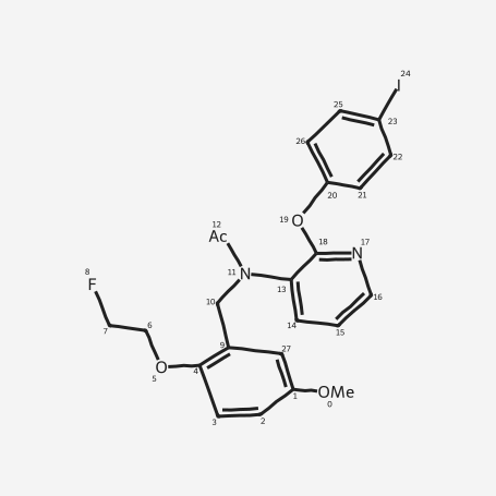 COc1ccc(OCCF)c(CN(C(C)=O)c2cccnc2Oc2ccc(I)cc2)c1